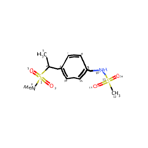 CNS(=O)(=O)C(C)c1ccc(NS(C)(=O)=O)cc1